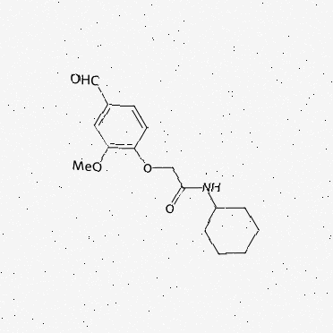 COc1cc(C=O)ccc1OCC(=O)NC1CCCCC1